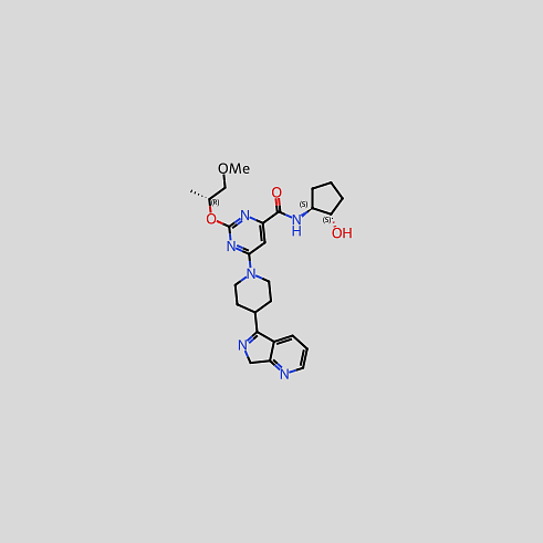 COC[C@@H](C)Oc1nc(C(=O)N[C@H]2CCC[C@@H]2O)cc(N2CCC(C3=NCc4ncccc43)CC2)n1